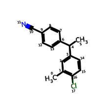 Cc1cc(C(C)c2ccc(C#N)cc2)ccc1Cl